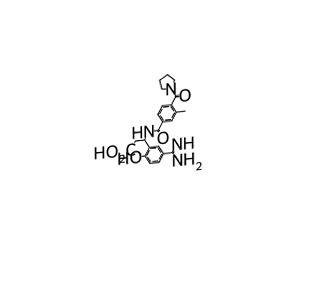 Cc1cc(C(=O)NC(CC(=O)O)c2cc(C(=N)N)ccc2O)ccc1C(=O)N1CCCC1